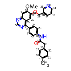 COc1cc2ncnc(-c3ccc(NC(=O)Cc4ccc(C(F)(F)F)cc4)cc3)c2cc1OCc1cccnc1